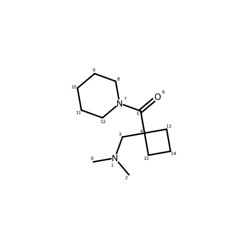 CN(C)CC1(C(=O)N2CCCCC2)CCC1